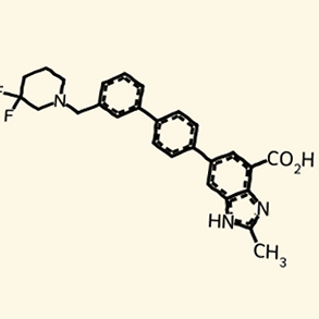 Cc1nc2c(C(=O)O)cc(-c3ccc(-c4cccc(CN5CCCC(F)(F)C5)c4)cc3)cc2[nH]1